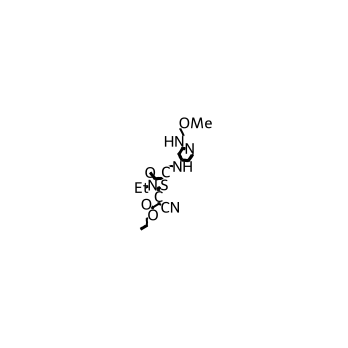 C=CCOC(=O)C(=C=c1sc(=C=CNc2ccnc(NCCOC)c2)c(=O)n1CC)C#N